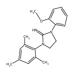 COc1ccccc1N1CCN(c2c(C)cc(C)cc2C)C1=N